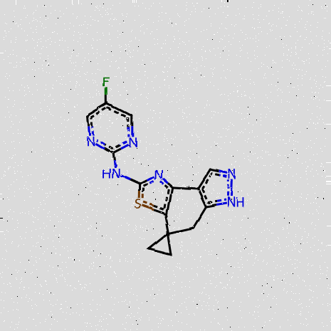 Fc1cnc(Nc2nc3c(s2)C2(CC2)Cc2[nH]ncc2-3)nc1